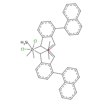 CC1=Cc2c(-c3cccc4ccccc34)cccc2[CH]1[Zr]([CH3])([CH3])([SiH3])([Cl])([Cl])[CH]1C(C)=Cc2c(-c3cccc4ccccc34)cccc21